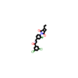 C=CC1CC2C(=O)N(c3ccc(/C=C/C(=O)c4cc(Cl)cc(Cl)c4)cc3F)C(=O)C12